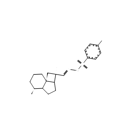 CC[C@@]1(C=NNS(=O)(=O)c2ccc(C)cc2)C[C@]23CCC[C@H](O)C2CCC13